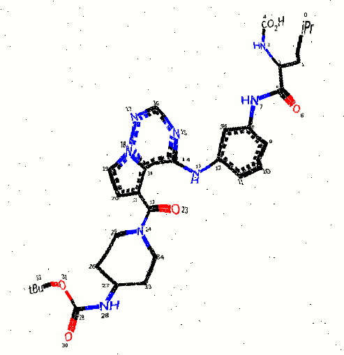 CC(C)CC(NC(=O)O)C(=O)Nc1cccc(Nc2ncnn3ccc(C(=O)N4CCC(NC(=O)OC(C)(C)C)CC4)c23)c1